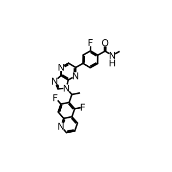 CNC(=O)c1ccc(-c2cnc3ncn(C(C)c4c(F)cc5ncccc5c4F)c3n2)cc1F